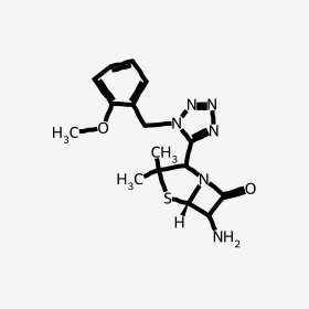 COc1ccccc1Cn1nnnc1C1N2C(=O)C(N)[C@@H]2SC1(C)C